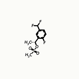 C[C@@H](OS(C)(=O)=O)c1cc(C(F)F)ccc1F